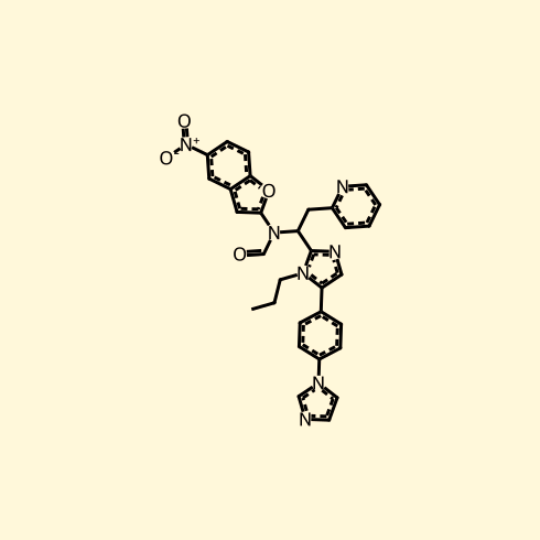 CCCn1c(-c2ccc(-n3ccnc3)cc2)cnc1C(Cc1ccccn1)N(C=O)c1cc2cc([N+](=O)[O-])ccc2o1